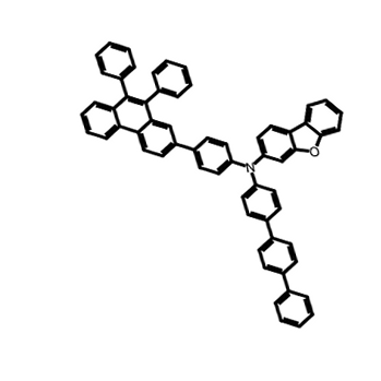 c1ccc(-c2ccc(-c3ccc(N(c4ccc(-c5ccc6c(c5)c(-c5ccccc5)c(-c5ccccc5)c5ccccc56)cc4)c4ccc5c(c4)oc4ccccc45)cc3)cc2)cc1